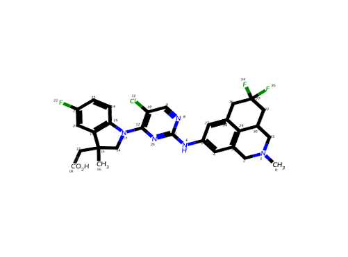 CN1Cc2cc(Nc3ncc(Cl)c(N4CC(C)(CC(=O)O)c5cc(F)ccc54)n3)cc3c2C(C1)CC(F)(F)C3